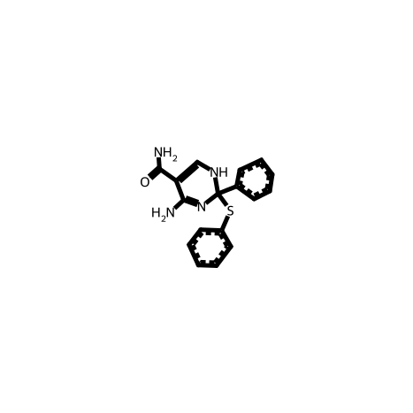 NC(=O)C1=CNC(Sc2ccccc2)(c2ccccc2)N=C1N